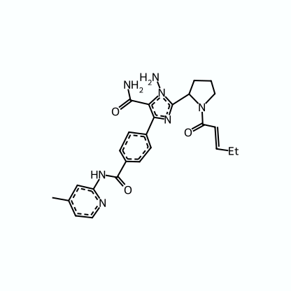 CCC=CC(=O)N1CCCC1c1nc(-c2ccc(C(=O)Nc3cc(C)ccn3)cc2)c(C(N)=O)n1N